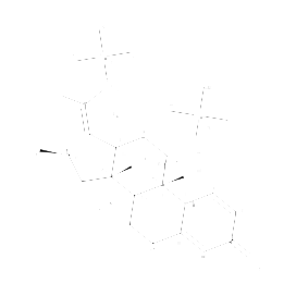 CCC(O[Si](C)(C)C)=C1[C@H](C)C[C@H]2[C@@H]3CCC4=CC(=O)C=C[C@]4(C)[C@H]3[C@@H](O[Si](C)(C)C)C[C@]12C